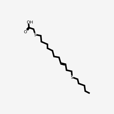 CCCCCSCCC=CCCCCCCCSCC(=O)O